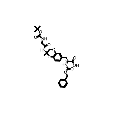 CC(C)(C)OC(=O)NCC(=O)NC1(C)COc2cc(C[C@H](NC(=O)OCc3ccccc3)C(=O)O)ccc2O1